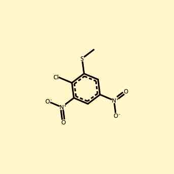 CSc1cc([N+](=O)[O-])cc([N+](=O)[O-])c1Cl